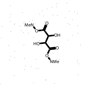 CNOC(=O)C(O)C(O)C(=O)ONC